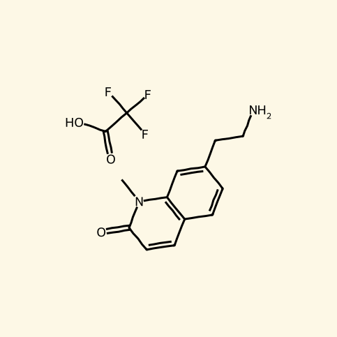 Cn1c(=O)ccc2ccc(CCN)cc21.O=C(O)C(F)(F)F